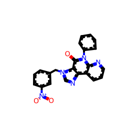 O=c1c2c(ncn2Cc2cccc([N+](=O)[O-])c2)c2cccnc2n1-c1ccccc1